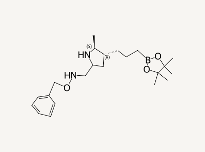 C[C@@H]1NC(CNOCc2ccccc2)C[C@H]1CCCB1OC(C)(C)C(C)(C)O1